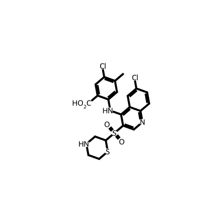 Cc1cc(Nc2c(S(=O)(=O)C3CNCCS3)cnc3ccc(Cl)cc23)c(C(=O)O)cc1Cl